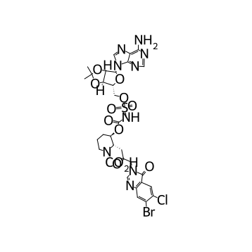 CC1(C)O[C@@H]2[C@H](O1)[C@@H](COS(=O)(=O)NC(=O)O[C@@H]1CCCN(C(=O)O)[C@H]1CC(=O)Cn1cnc3cc(Br)c(Cl)cc3c1=O)O[C@H]2n1cnc2c(N)ncnc21